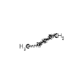 CCCCCCCCc1ccc(C#Cc2ccc(C#Cc3ccc(CCCC)cc3)cc2)cc1